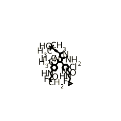 C=C(F)C(=O)Nc1ccc(-c2c(-c3cnc(C(=O)NCC4(F)CC4)c(Cl)c3)c3c(N)ncc(C#CC(C)(C)O)c3n2C)c(C)c1